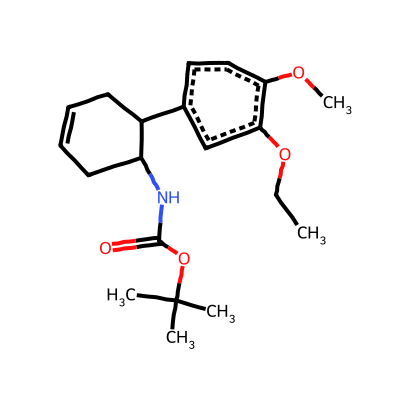 CCOc1cc(C2CC=CCC2NC(=O)OC(C)(C)C)ccc1OC